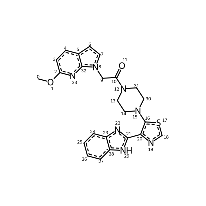 COc1ccc2ccn(CC(=O)N3CCN(c4scnc4-c4nc5ccccc5[nH]4)CC3)c2n1